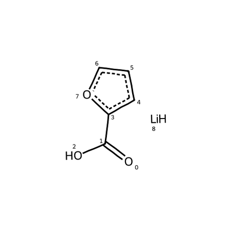 O=C(O)c1ccco1.[LiH]